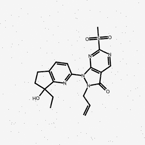 C=CCn1c(=O)c2cnc(S(C)(=O)=O)nc2n1-c1ccc2c(n1)C(O)(CC)CC2